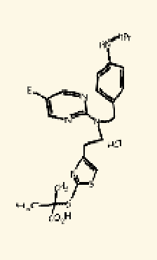 CCCNc1ccc(CN(CCc2csc(SC(C)(C)C(=O)O)n2)c2ncc(CC)cn2)cc1.Cl